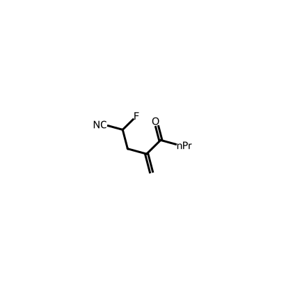 C=C(CC(F)C#N)C(=O)CCC